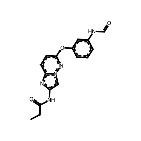 CCC(=O)Nc1cn2nc(Oc3cccc(NC=O)c3)ccc2n1